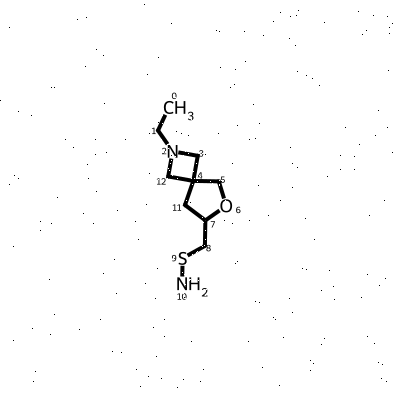 CCN1CC2(COC(CSN)C2)C1